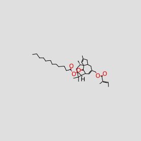 C/C=C(\C)C(=O)OCC1=CC2C(=O)C3(C=C(C)CC3C1)[C@H](C)C[C@]1(OC(=O)CCCCCCCCCCC)[C@H]2C1(C)C